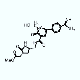 COC(=O)C[C@@H]1C[C@@H](CNC(=O)c2cc(-c3ccc(C(=N)N)cc3)nn(C)c2=O)NC1=O.Cl